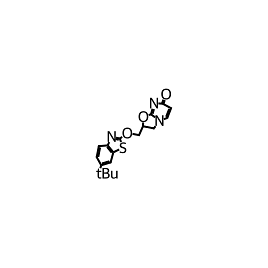 CC(C)(C)c1ccc2nc(OCC3Cn4ccc(=O)nc4O3)sc2c1